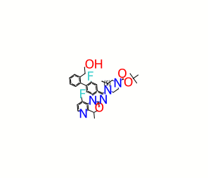 Cc1ccnc(C(C)C)c1-n1c(=O)nc(N2CCN(C(=O)OC(C)(C)C)C[C@@H]2C)c2cc(F)c(-c3ccccc3CCO)c(F)c21